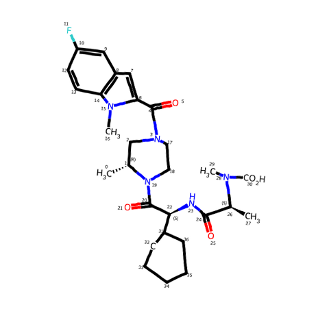 C[C@@H]1CN(C(=O)c2cc3cc(F)ccc3n2C)CCN1C(=O)[C@@H](NC(=O)[C@H](C)N(C)C(=O)O)C1CCCCC1